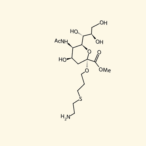 COC(=O)[C@@]1(OCCCSCCN)C[C@@H](O)[C@@H](NC(C)=O)[C@@H]([C@H](O)[C@H](O)CO)O1